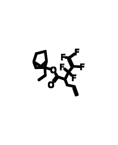 C=CCC(C(=O)OC1(CC)CC2CCC1C2)C(F)(F)C(F)=C(F)F